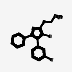 CCOC(=O)COc1nn(-c2ccccc2)c(-c2cccc(Cl)c2)c1Cl